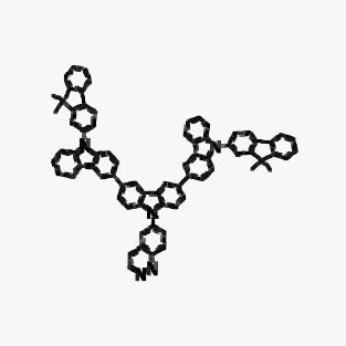 CC1(C)c2ccccc2-c2ccc(-n3c4ccccc4c4cc(-c5ccc6c(c5)c5cc(-c7ccc8c(c7)c7ccccc7n8-c7ccc8c(c7)C(C)(C)c7ccccc7-8)ccc5n6-c5ccc6nnccc6c5)ccc43)cc21